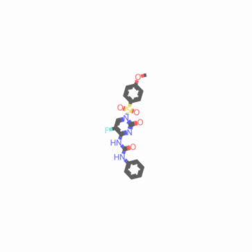 COc1ccc(S(=O)(=O)n2cc(F)c(NC(=O)Nc3ccccc3)nc2=O)cc1